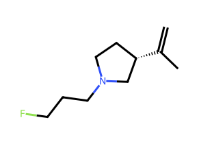 C=C(C)[C@H]1CCN(CCCF)C1